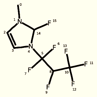 CN1C=CN(C(F)(F)C(F)C(F)(F)F)C1F